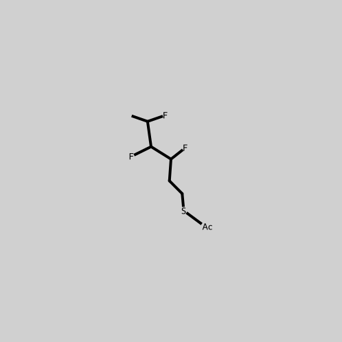 CC(=O)SCCC(F)C(F)C(C)F